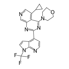 FC(F)(F)n1ccc2c(-c3nc(N4CCOCC4)c4c(C5CC5)cncc4n3)ccnc21